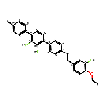 CCOc1ccc(CCc2ccc(-c3ccc(-c4ccc(C)cc4)c(F)c3F)cc2)cc1F